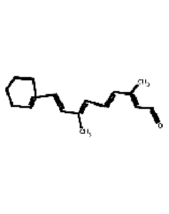 CC(C=CC=C(C)C=CC1=CCCCC1)=CC=O